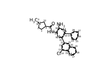 CN1CCC(C(=O)Nc2nc(-c3cc(Cl)c4ncccc4c3)c(-c3ccccc3)nc2N)C1